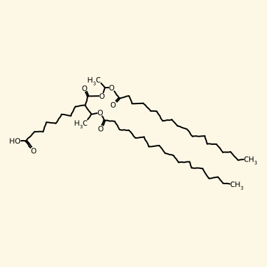 CCCCCCCCCCCCCCCCCC(=O)OC(C)OC(=O)C(CCCCCCCC(=O)O)C(C)OC(=O)CCCCCCCCCCCCCCCCC